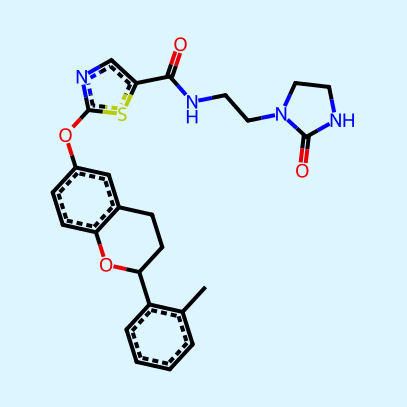 Cc1ccccc1C1CCc2cc(Oc3ncc(C(=O)NCCN4CCNC4=O)s3)ccc2O1